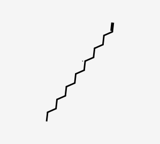 C=CCCCC[CH]CCCCCCCCC